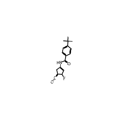 CC(C)(C)c1ccc(C(=O)NC2=CC(F)C(=C=O)C2)cc1